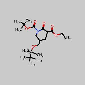 CCOC(=O)C1CC(CO[Si](C)(C)C(C)(C)C)CN(C(=O)OC(C)(C)C)C1=O